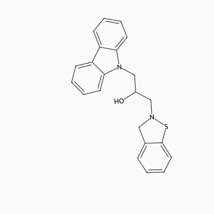 OC(CN1Cc2ccccc2S1)Cn1c2ccccc2c2ccccc21